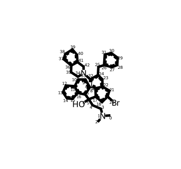 CN(C)CCC(O)(c1cccc2ccccc12)c1cc(Br)cc2cc(Cc3ccccc3)c(N3CCc4ccccc4C3)nc12